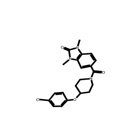 Cn1c(=O)n(C)c2cc(C(=O)N3CCC(Oc4ccc(Cl)cc4)CC3)ccc21